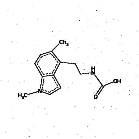 Cc1ccc2c(ccn2C)c1CCNC(=O)O